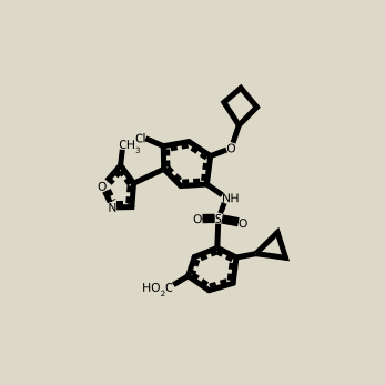 Cc1oncc1-c1cc(NS(=O)(=O)c2cc(C(=O)O)ccc2C2CC2)c(OC2CCC2)cc1Cl